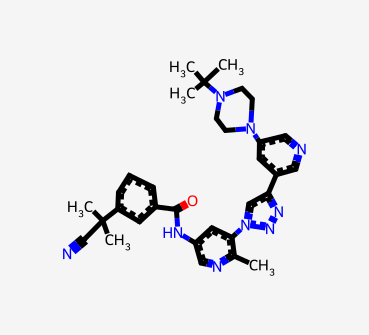 Cc1ncc(NC(=O)c2cccc(C(C)(C)C#N)c2)cc1-n1cc(-c2cncc(N3CCN(C(C)(C)C)CC3)c2)nn1